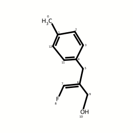 Cc1ccc(CC(=CF)CO)cc1